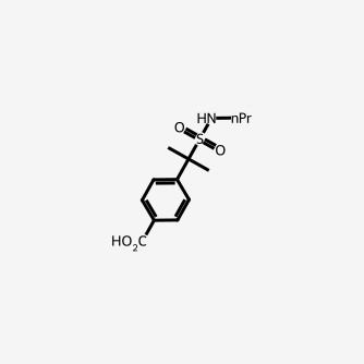 CCCNS(=O)(=O)C(C)(C)c1ccc(C(=O)O)cc1